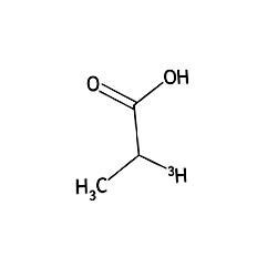 [3H]C(C)C(=O)O